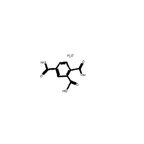 O.O=C(O)c1ccc(C(=O)O)c(C(=O)O)c1